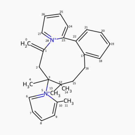 C=C1CC(C)([n+]2ccccc2C)C(C)(C)CCc2ccccc2-c2cccc[n+]21